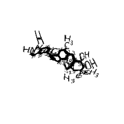 CC1=C2C=C3[C@@H](O)[C@H](O)[C@@H](N(C)C)C[C@]34CC[C@]2(O4)C2CC=C(c3ccc4c(c3)C=CNN4)[C@@]2(C)C1